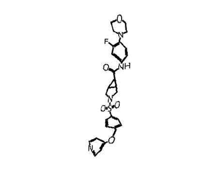 O=C(Nc1ccc(N2CCOCC2)c(F)c1)C1C2CN(S(=O)(=O)c3ccc(Oc4ccncc4)cc3)CC21